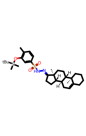 Cc1ccc(S(=O)(=O)NN=C2CC[C@H]3[C@@H]4CC=C5CCCC[C@]5(C)[C@H]4CC[C@]23C)cc1O[Si](C)(C)C(C)(C)C